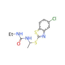 CCNC(=O)NC(C)Sc1nc2cc(Cl)ccc2s1